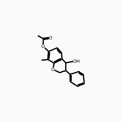 CC(=O)Oc1ccc2c(c1C)OCC(c1ccccc1)C2O